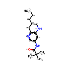 CC(C)(C(=O)Nc1cnc2c(c1)NCC(CCC(=O)O)C2)C(F)(F)F